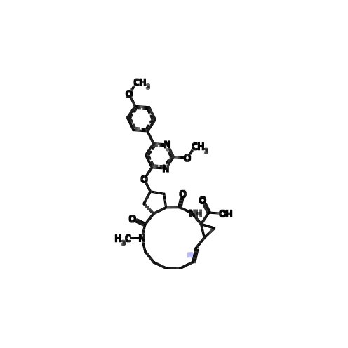 COc1ccc(-c2cc(OC3CC4C(=O)NC5(C(=O)O)CC5/C=C/CCCCN(C)C(=O)C4C3)nc(OC)n2)cc1